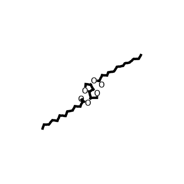 CCCCCCCCCCCC(=O)OC1COC2C(OC(=O)CCCCCCCCCCC)COC12